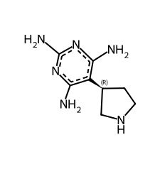 Nc1nc(N)c([C@H]2CCNC2)c(N)n1